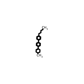 CCCCCc1ccc(-c2ccc(C3=CCC(C)CC3)cc2)cc1